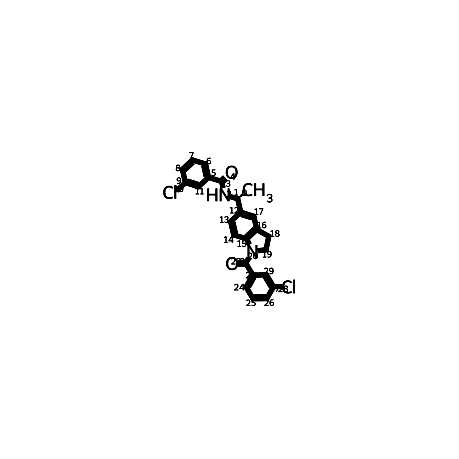 C[C@@H](NC(=O)c1cccc(Cl)c1)c1ccc2c(c1)CCN2C(=O)c1cccc(Cl)c1